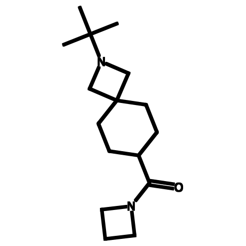 CC(C)(C)N1CC2(CCC(C(=O)N3CCC3)CC2)C1